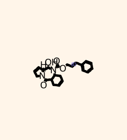 O=C1C2CC=CCC2N(C(=O)OC/C=C/c2ccccc2)[C@@H](O)[C@@H]2C=CCN12